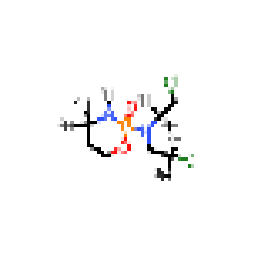 [2H]N1C([2H])([2H])CCOP1(=O)N(CC([2H])([2H])Cl)C([2H])([2H])CCl